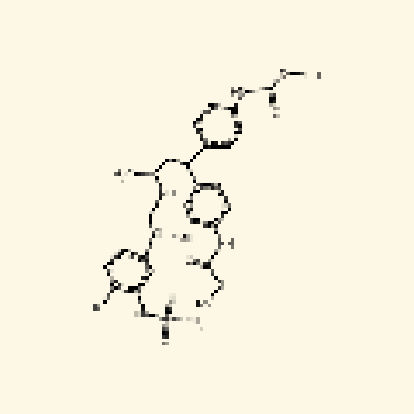 COC(=O)Nc1ccc(C(CC(C)NC[C@H](O)c2ccc(O)c(NS(C)(=O)=O)c2)c2ccc(NC(=O)OC)cc2)cc1